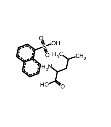 CC(C)CC(N)C(=O)O.O=S(=O)(O)c1cccc2ccccc12